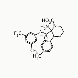 Cc1ccc(C2CCCN(C(=O)O)C2(N)C(=O)Nc2cc(C(F)(F)F)cc(C(F)(F)F)c2)cc1